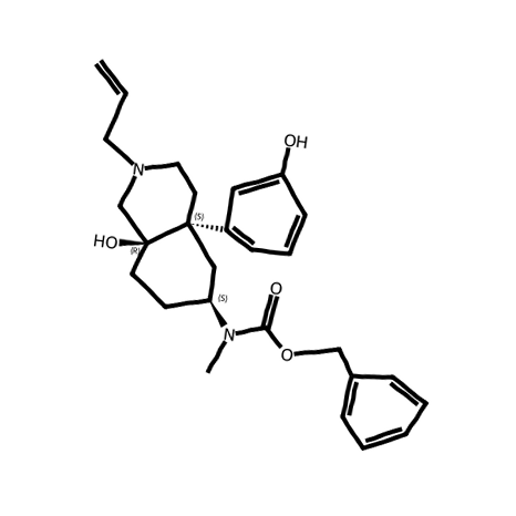 C=CCN1CC[C@@]2(c3cccc(O)c3)C[C@@H](N(C)C(=O)OCc3ccccc3)CC[C@]2(O)C1